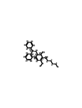 CCCCCOc1c(CC)cc(C)c(CP(c2ccccc2)c2ccccc2)c1C